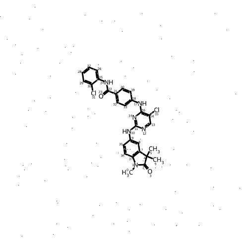 CN1C(=O)C(C)(C)c2cc(Nc3ncc(Cl)c(Nc4ccc(C(=O)Nc5ccccc5Cl)cc4)n3)ccc21